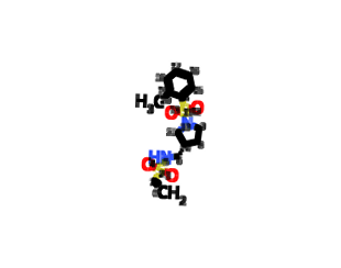 C=CS(=O)(=O)NC[C@H]1CCN(S(=O)(=O)c2ccccc2C)C1